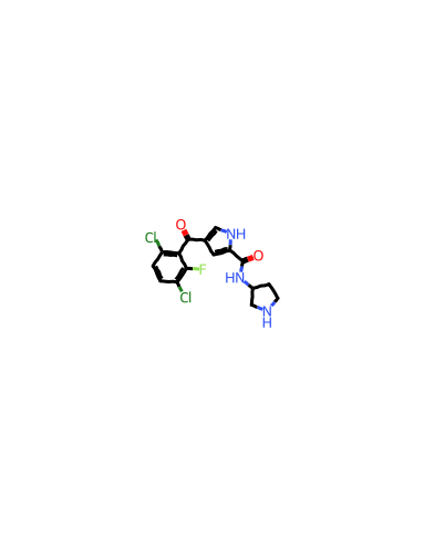 O=C(NC1CCNC1)c1cc(C(=O)c2c(Cl)ccc(Cl)c2F)c[nH]1